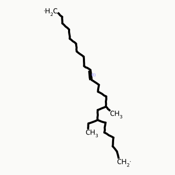 [CH2]CCCCCCCC/C=C/CCCC(C)CC(CC)CCCCC[CH2]